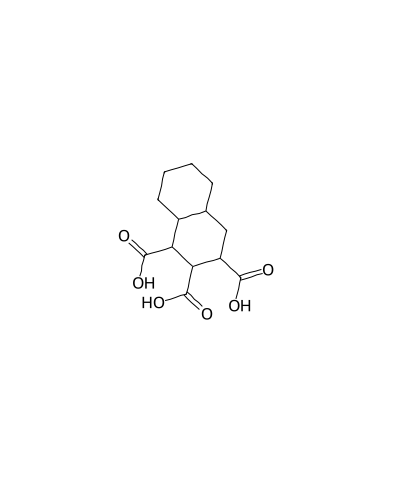 O=C(O)C1CC2CCCCC2C(C(=O)O)C1C(=O)O